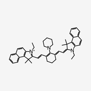 CCN1/C(=C/C=C2\CCCC(/C=C/C3=[N+](CC)c4ccc5ccccc5c4C3(C)C)=C2N2CCCCC2)C(C)(C)c2c1ccc1ccccc21